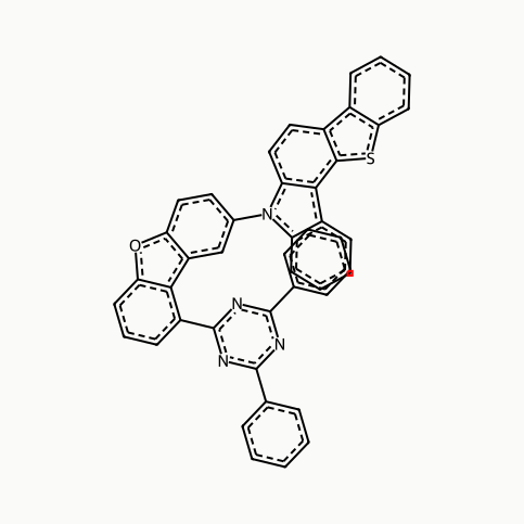 c1ccc(-c2nc(-c3ccccc3)nc(-c3cccc4oc5ccc(-n6c7ccccc7c7c8sc9ccccc9c8ccc76)cc5c34)n2)cc1